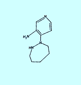 Nc1cnccc1N1CCCCCN1